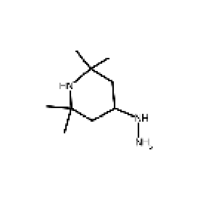 CC1(C)CC(NN)CC(C)(C)N1